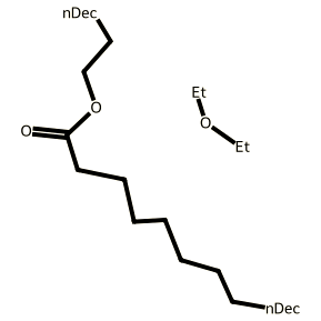 CCCCCCCCCCCCCCCCCC(=O)OCCCCCCCCCCCC.CCOCC